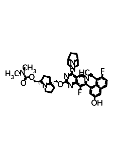 C#Cc1c(F)ccc2cc(O)cc(-c3ncc4c(N5CC6CCC(C5)N6)nc(OC[C@]56CCCN5[C@@H](COC(=O)N(C)C)CC6)nc4c3F)c12